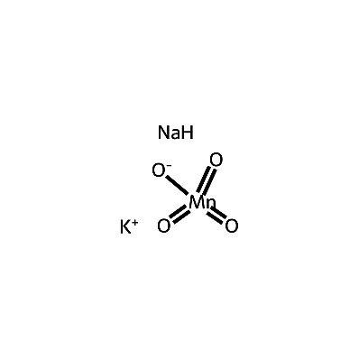 [K+].[NaH].[O]=[Mn](=[O])(=[O])[O-]